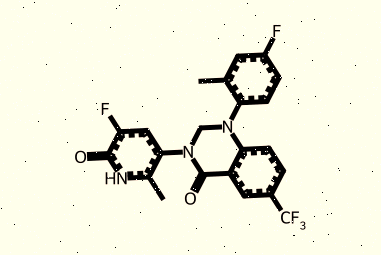 Cc1cc(F)ccc1N1CN(c2cc(F)c(=O)[nH]c2C)C(=O)c2cc(C(F)(F)F)ccc21